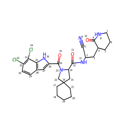 N#CC(CC1CCCNC1=O)NC(=O)C1CC2(CCCCC2)CN1C(=O)c1cc2ccc(Cl)c(Cl)c2[nH]1